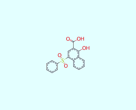 O=C(O)c1cc(S(=O)(=O)c2ccccc2)c2ccccc2c1O